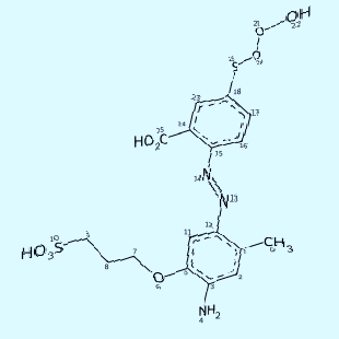 Cc1cc(N)c(OCCCS(=O)(=O)O)cc1N=Nc1ccc(SOOO)cc1C(=O)O